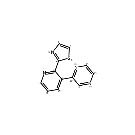 c1cnc(-c2nccs2)c(-c2cnccn2)c1